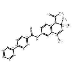 CC(=O)N1c2ccc(NC(=O)c3ccc(-c4ccccc4)cc3)cc2C(C)=CC1(C)C